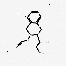 NC[C@@H](O)[C@@H]1Cc2ccccc2CN1BC=O